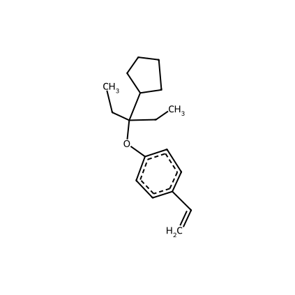 C=Cc1ccc(OC(CC)(CC)C2CCCC2)cc1